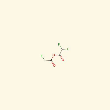 O=C(CF)OC(=O)C(F)F